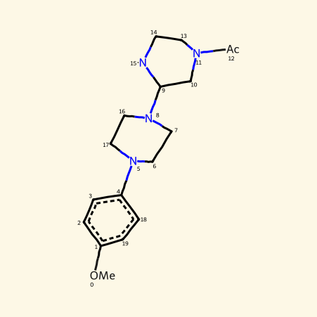 COc1ccc(N2CCN(C3CN(C(C)=O)CC[N]3)CC2)cc1